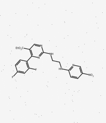 CCOC(=O)c1cnc(NCCNc2ccc([N+](=O)[O-])cn2)nc1-c1ccc(F)cc1F